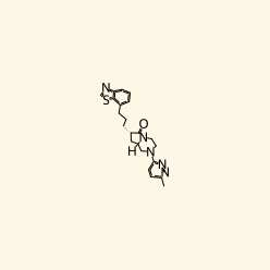 Cc1ccc(N2CCN3C(=O)[C@@H](CCCc4cccc5ncsc45)C[C@H]3C2)nn1